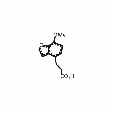 COc1ccc(CCC(=O)O)c2ccoc12